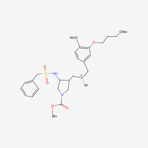 COCCCOc1cc(C[C@@H](CC2CN(C(=O)OC(C)(C)C)CC2NS(=O)(=O)Cc2ccccc2)C(C)C)ccc1OC